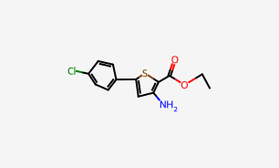 CCOC(=O)c1sc(-c2ccc(Cl)cc2)cc1N